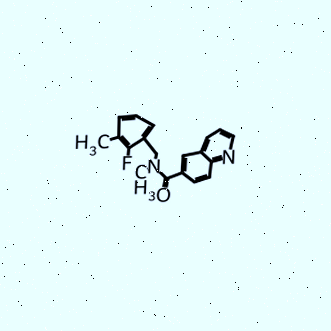 Cc1cccc(CN(C)C(=O)c2ccc3ncccc3c2)c1F